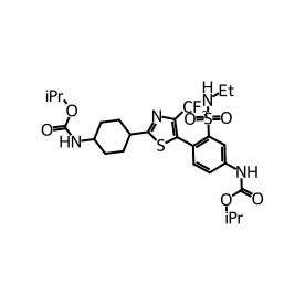 CCNS(=O)(=O)c1cc(NC(=O)OC(C)C)ccc1-c1sc(C2CCC(NC(=O)OC(C)C)CC2)nc1C(F)(F)F